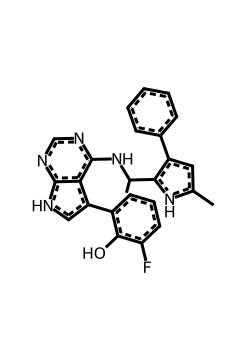 Cc1cc(-c2ccccc2)c(C(C)Nc2ncnc3[nH]cc(-c4cccc(F)c4O)c23)[nH]1